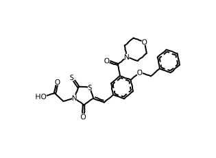 O=C(O)CN1C(=O)C(=Cc2ccc(OCc3ccccc3)c(C(=O)N3CCOCC3)c2)SC1=S